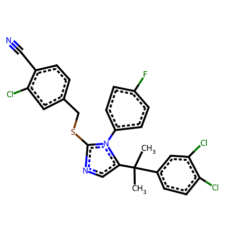 CC(C)(c1ccc(Cl)c(Cl)c1)c1cnc(SCc2ccc(C#N)c(Cl)c2)n1-c1ccc(F)cc1